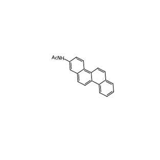 CC(=O)Nc1ccc2c(ccc3c4ccccc4ccc23)c1